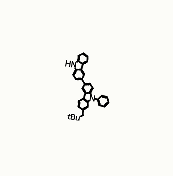 CC(C)(C)Cc1ccc2c3cc(-c4ccc5[nH]c6ccccc6c5c4)ccc3n(-c3ccccc3)c2c1